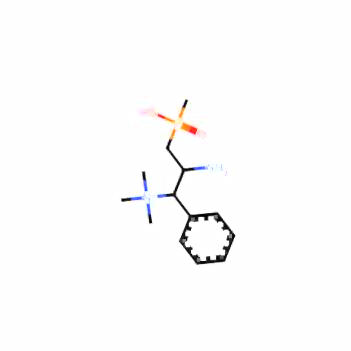 C[N+](C)(C)C(c1ccccc1)C(N)CP(C)(=O)O